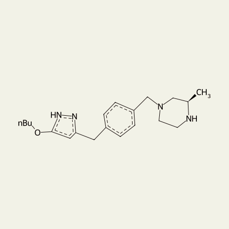 CCCCOc1cc(Cc2ccc(CN3CCN[C@H](C)C3)cc2)n[nH]1